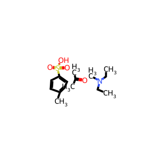 CC(C)=O.CCN(C)CC.Cc1ccc(S(=O)(=O)O)cc1